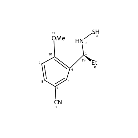 CC[C@H](NS)c1cc(C#N)ccc1OC